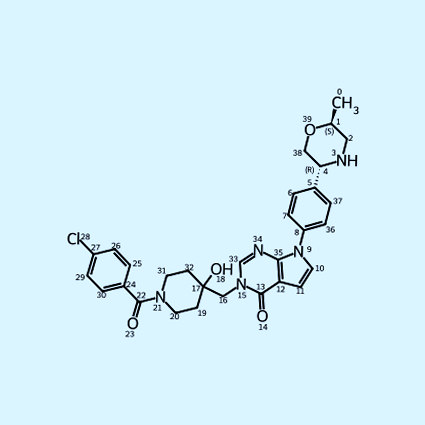 C[C@H]1CN[C@H](c2ccc(-n3ccc4c(=O)n(CC5(O)CCN(C(=O)c6ccc(Cl)cc6)CC5)cnc43)cc2)CO1